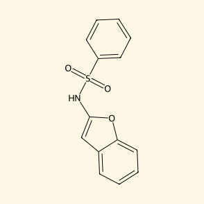 O=S(=O)(Nc1cc2ccccc2o1)c1ccccc1